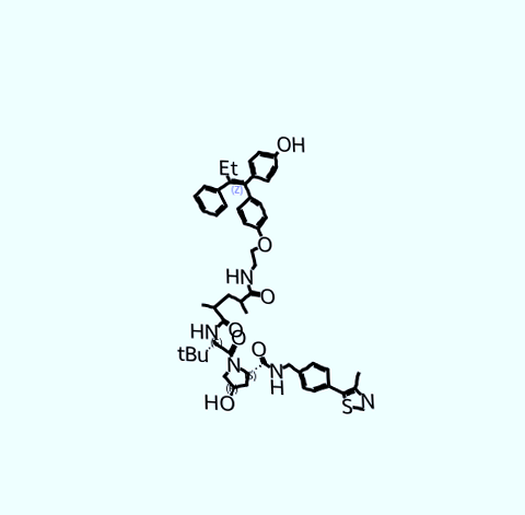 CC/C(=C(\c1ccc(O)cc1)c1ccc(OCCNC(=O)C(C)CC(C)C(=O)N[C@H](C(=O)N2C[C@H](O)C[C@H]2C(=O)NCc2ccc(-c3scnc3C)cc2)C(C)(C)C)cc1)c1ccccc1